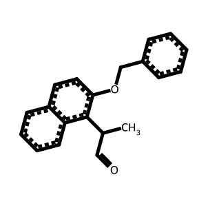 CC(C=O)c1c(OCc2ccccc2)ccc2ccccc12